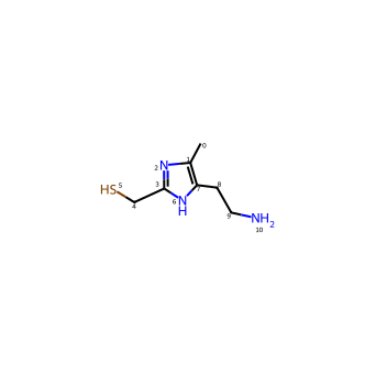 Cc1nc(CS)[nH]c1CCN